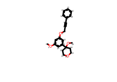 COc1cc(OCC#Cc2ccccc2)cc(C2(OC)CCOCC2)c1